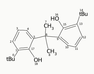 CC(C)(C)c1cccc(C(C)(C)c2cccc(C(C)(C)C)c2O)c1O